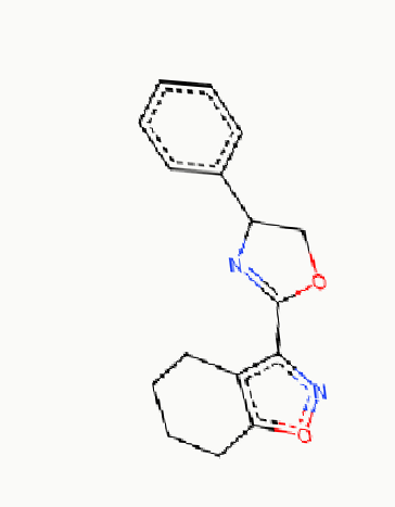 c1ccc(C2COC(c3noc4c3CCCC4)=N2)cc1